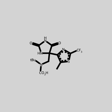 Cc1sc(C(F)(F)F)nc1C1(CN(C(=O)O)C(C)(C)C)NC(=O)NC1=O